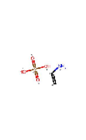 C=CN.O=S(=O)(O)O